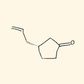 C=CC[C@H]1CCC(=O)C1